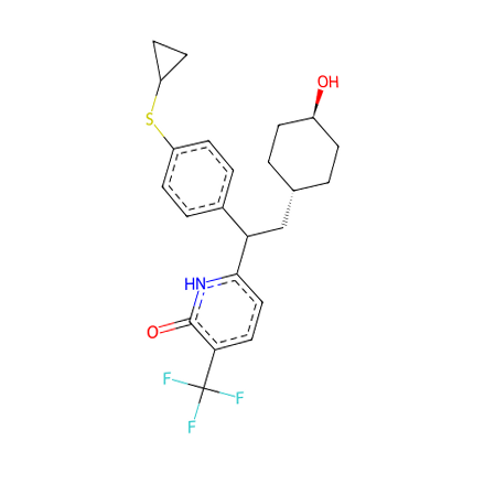 O=c1[nH]c(C(C[C@H]2CC[C@H](O)CC2)c2ccc(SC3CC3)cc2)ccc1C(F)(F)F